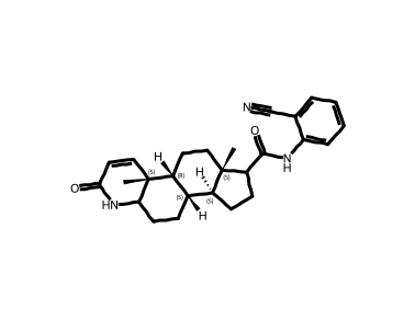 C[C@]12C=CC(=O)NC1CC[C@@H]1[C@H]2CC[C@]2(C)C(C(=O)Nc3ccccc3C#N)CC[C@@H]12